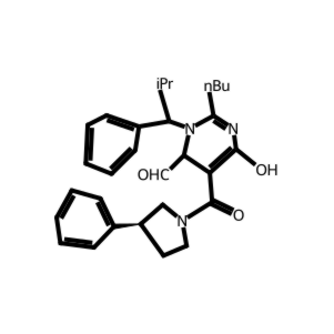 CCCCC1=NC(O)=C(C(=O)N2CC[C@@H](c3ccccc3)C2)C(C=O)N1C(c1ccccc1)C(C)C